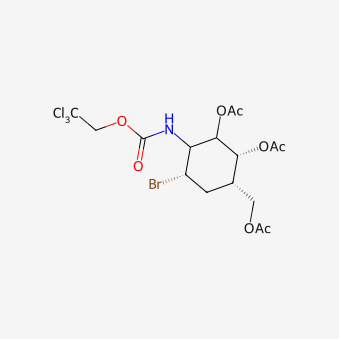 CC(=O)OC[C@@H]1C[C@H](Br)C(NC(=O)OCC(Cl)(Cl)Cl)C(OC(C)=O)[C@@H]1OC(C)=O